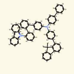 CC1(C)c2ccccc2-c2cccc(-c3ccc(N(c4ccc(-c5ccccc5)cc4)c4ccc(-c5ccccc5-c5ccccc5-n5c6ccccc6c6ccccc65)cc4)cc3)c21